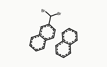 BrC(Br)c1[c]c2ccccc2cc1.[c]1cccc2ccccc12